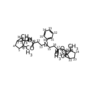 CC1(C)C2CC[C@@]1(C)C(OC(=O)CCN(CCC(=O)OC1CC3CC[C@]1(C)C3(C)C)c1ccccc1)C2